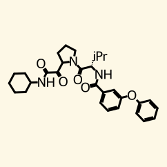 CC(C)[C@H](NC(=O)c1cccc(Oc2ccccc2)c1)C(=O)N1CCCC1C(=O)C(=O)NC1CCCCC1